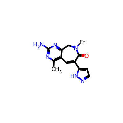 CCN1Cc2nc(N)nc(C)c2C=C(c2ccn[nH]2)C1=O